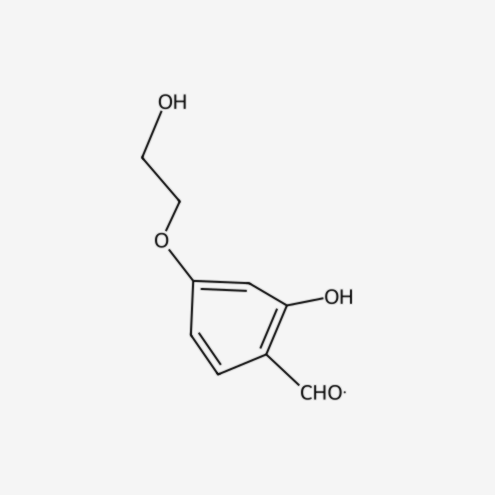 O=[C]c1ccc(OCCO)cc1O